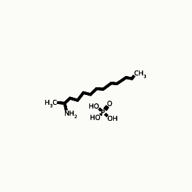 CCCCCCCCCCCC(C)N.O=P(O)(O)O